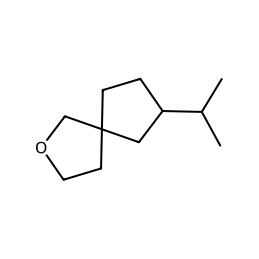 CC(C)C1CCC2(CCOC2)C1